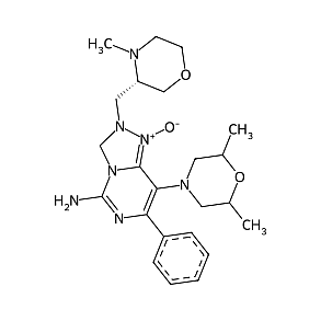 CC1CN(C2=C(c3ccccc3)N=C(N)N3CN(C[C@H]4COCCN4C)[N+]([O-])=C23)CC(C)O1